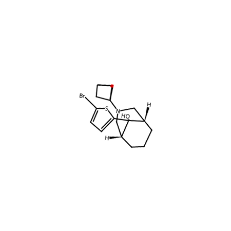 O[C@@]1(c2ccc(Br)s2)[C@@H]2CCC[C@H]1CN(C13CC(C1)C3)C2